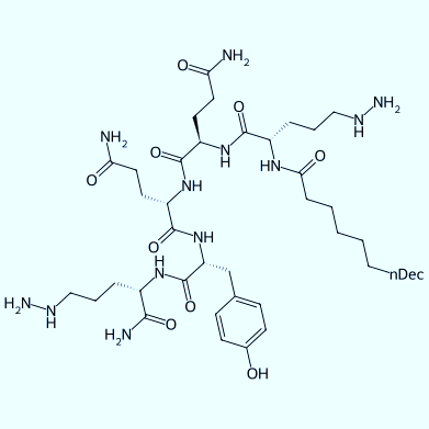 CCCCCCCCCCCCCCCC(=O)N[C@@H](CCCNN)C(=O)N[C@H](CCC(N)=O)C(=O)N[C@@H](CCC(N)=O)C(=O)N[C@H](Cc1ccc(O)cc1)C(=O)N[C@@H](CCCNN)C(N)=O